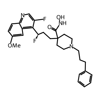 COc1ccc2ncc(F)c([C@H](F)CCC3(C(=O)NO)CCN(CCCc4ccccc4)CC3)c2c1